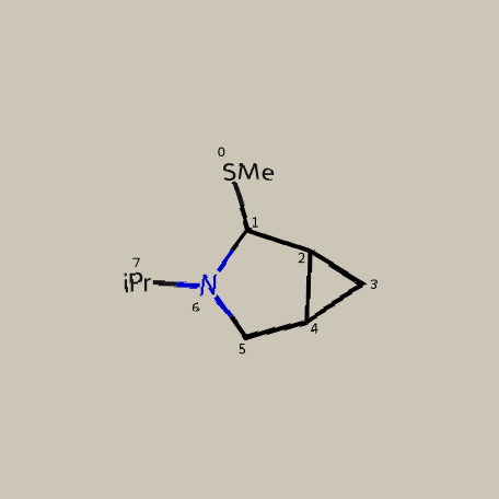 CSC1C2CC2CN1C(C)C